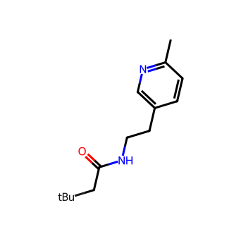 Cc1ccc(CCNC(=O)CC(C)(C)C)cn1